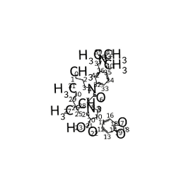 CCCCN(C(=O)CN1C[C@H](c2ccc3c(c2)OCO3)[C@@H](C(=O)O)[C@@H]1CC(C)(C)CCC)c1cccc(C[N+](C)(C)C)c1